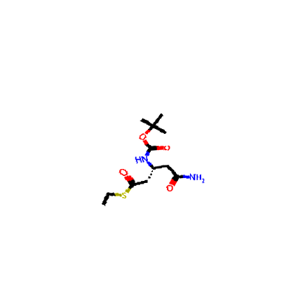 CCSC(=O)C[C@@H](CC(N)=O)NC(=O)OC(C)(C)C